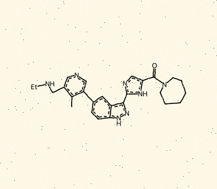 CCNCc1cncc(-c2ccc3[nH]nc(-c4ncc(C(=O)N5CCCCCC5)[nH]4)c3c2)c1C